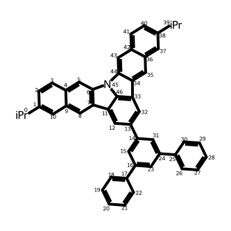 CC(C)c1ccc2cc3c(cc2c1)c1cc(-c2cc(-c4ccccc4)cc(-c4ccccc4)c2)cc2c4cc5cc(C(C)C)ccc5cc4n3c12